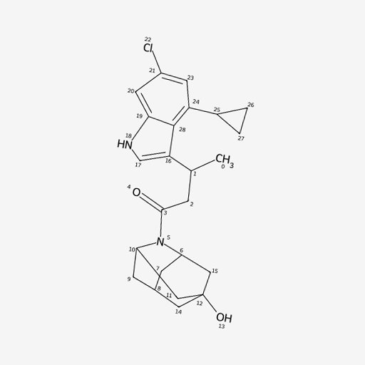 CC(CC(=O)N1C2CC3CC1CC(O)(C3)C2)c1c[nH]c2cc(Cl)cc(C3CC3)c12